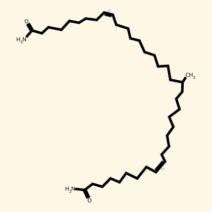 CC(CCCCCCCC/C=C\CCCCCCCC(N)=O)CCCCCCCCC/C=C\CCCCCCCC(N)=O